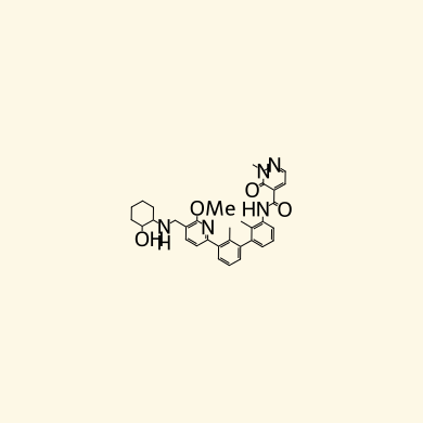 COc1nc(-c2cccc(-c3cccc(NC(=O)c4ccnn(C)c4=O)c3C)c2C)ccc1CNC1CCCCC1O